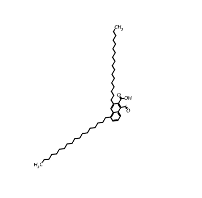 CCCCCCCCCCCCCCCCCCc1cc2c(CCCCCCCCCCCCCCCCCC)cccc2c(I=O)c1C(=O)O